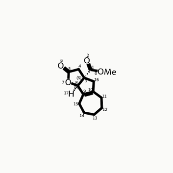 COC(=O)[C@@]12CC(=O)O[C@@H]1C1=C(CCCCC1)C2